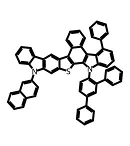 c1ccc(-c2ccc(-n3c4cccc(-c5ccccc5)c4c4c5ccccc5c5c6cc7c8ccccc8n(-c8ccc9ccccc9c8)c7cc6sc5c43)c(-c3ccccc3)c2)cc1